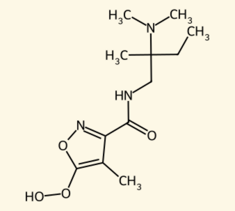 CCC(C)(CNC(=O)c1noc(OO)c1C)N(C)C